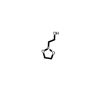 OCCP1OCCO1